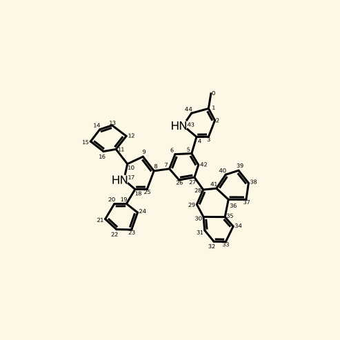 CC1=CC=C(c2cc(C3=CC(c4ccccc4)NC(c4ccccc4)=C3)cc(-c3cc4ccccc4c4ccccc34)c2)NC1